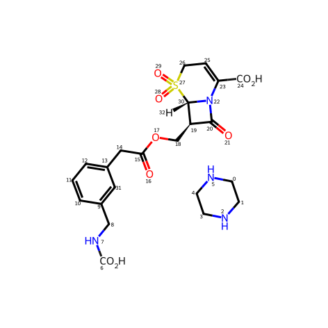 C1CNCCN1.O=C(O)NCc1cccc(CC(=O)OC[C@@H]2C(=O)N3C(C(=O)O)=CCS(=O)(=O)[C@@H]23)c1